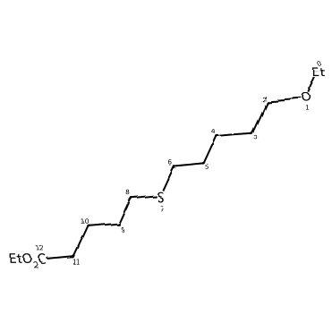 CCOCCCCCSCCCCC(=O)OCC